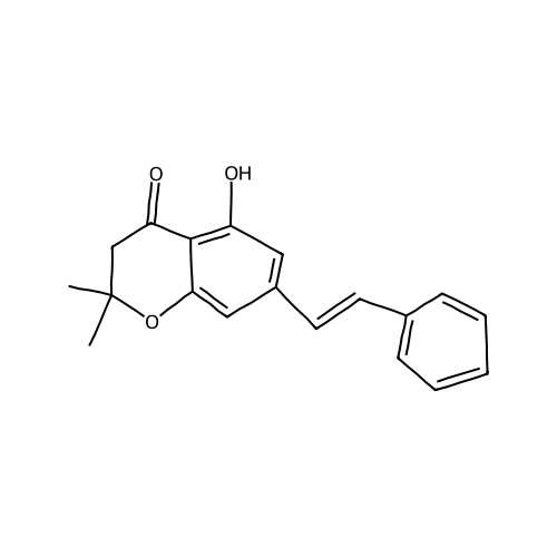 CC1(C)CC(=O)c2c(O)cc(/C=C/c3ccccc3)cc2O1